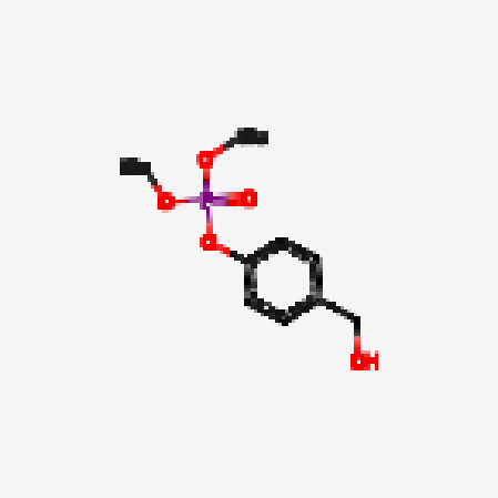 CC(C)(C)OP(=O)(Oc1ccc(CO)cc1)OC(C)(C)C